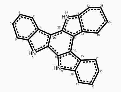 c1ccc2c(c1)[nH]c1c3[nH]c4ccccc4c3c3c4ccccc4[nH]c3c21